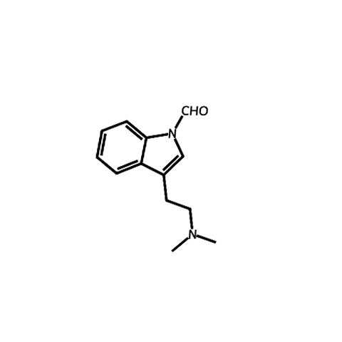 CN(C)CCc1cn(C=O)c2ccccc12